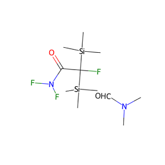 CN(C)C=O.C[Si](C)(C)C(F)(C(=O)N(F)F)[Si](C)(C)C